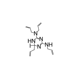 C=CCNC1=NC(I)(CC=C)NC(N(CC=C)CC=C)=N1